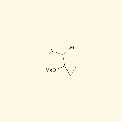 CC[C@@H](N)C1(OC)CC1